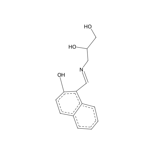 OCC(O)CN=Cc1c(O)ccc2ccccc12